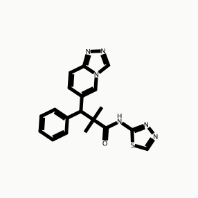 CC(C)(C(=O)Nc1nncs1)C(c1ccccc1)c1ccc2nncn2c1